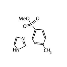 COS(=O)(=O)c1ccc(C)cc1.c1c[nH]cn1